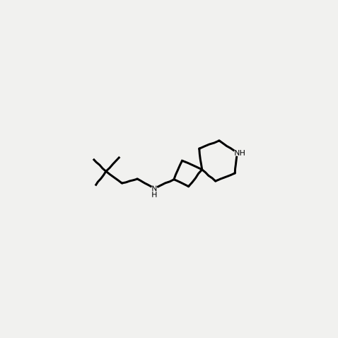 CC(C)(C)CCNC1CC2(CCNCC2)C1